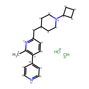 Cc1nc(CC2CCN(C3CCC3)CC2)ccc1-c1ccncc1.Cl.Cl